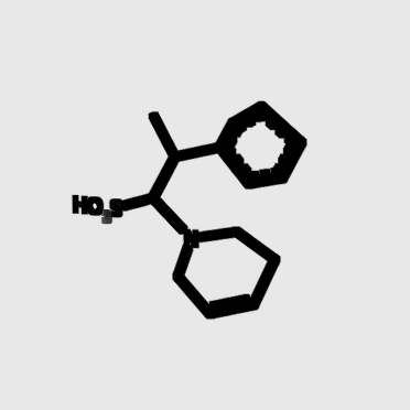 CC(c1ccccc1)C(N1CC=CCC1)S(=O)(=O)O